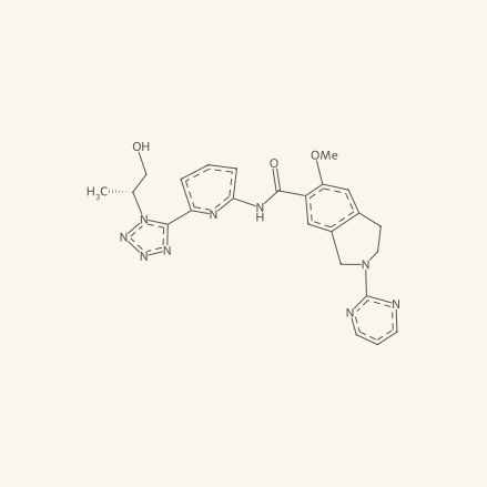 COc1cc2c(cc1C(=O)Nc1cccc(-c3nnnn3[C@H](C)CO)n1)CN(c1ncccn1)CC2